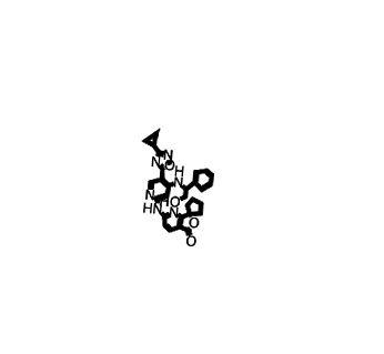 O=C1OC2(CCCC2)c2nc(Nc3cc(NC(CO)c4ccccc4)c(-c4nc(C5CC5)no4)cn3)ccc21